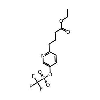 CCOC(=O)CCCc1ccc(OS(=O)(=O)C(F)(F)F)cn1